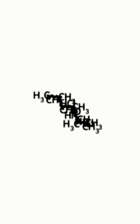 CC(C)CCCC(C)CCCC(C)CCCC(C)CC(=O)NCC[N+](C)(C)CCN(C)C.Cl